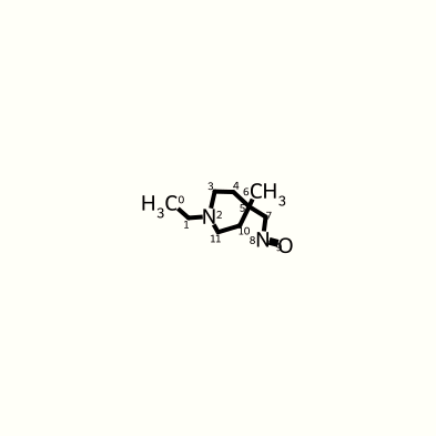 CCN1CCC(C)(CN=O)CC1